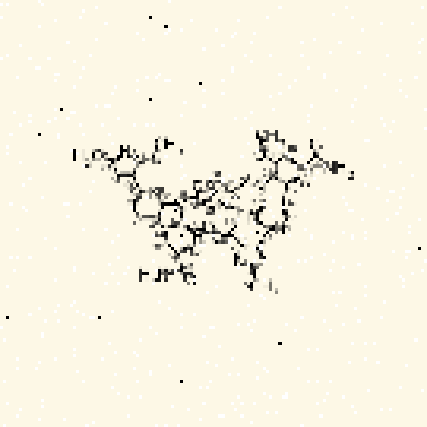 CCn1nc(C)cc1-c1ncc2c3cc(C(N)=O)cc(OC)c3n(CCCCCn3c4nc(-c5cc(C)nn5CC)ncc4c4cc(C(N)=O)cc(OCCCN5CCOCC5)c43)c2n1